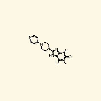 Cn1c(=O)c2[nH]c(N3CCN(c4ccncc4)CC3)nc2n(C)c1=O